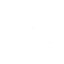 CCCc1cnc(-c2ccc(C)nc2)nc1